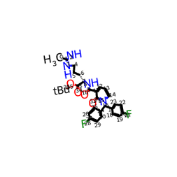 CC(=N)NCCC[C@H](NC(=O)c1cccn(C(c2ccc(F)cc2)c2ccc(F)cc2)c1=O)C(=O)OC(C)(C)C